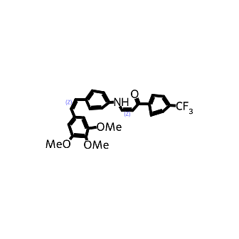 COc1cc(/C=C\c2ccc(N/C=C\C(=O)c3ccc(C(F)(F)F)cc3)cc2)cc(OC)c1OC